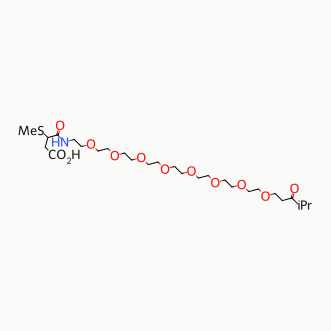 CSC(CC(=O)O)C(=O)NCCOCCOCCOCCOCCOCCOCCOCCOCCC(=O)C(C)C